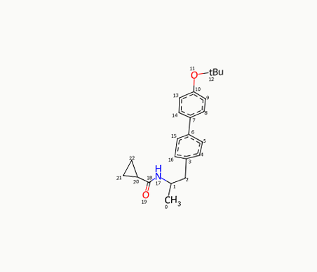 CC(Cc1ccc(-c2ccc(OC(C)(C)C)cc2)cc1)NC(=O)C1CC1